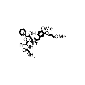 COCCCOc1cc(C[C@@H](C[C@H](NC(=O)[C@@H](NC(=O)CN)C(C)C)[C@@H](O)CN2CCCCC2)C(C)C)ccc1OC